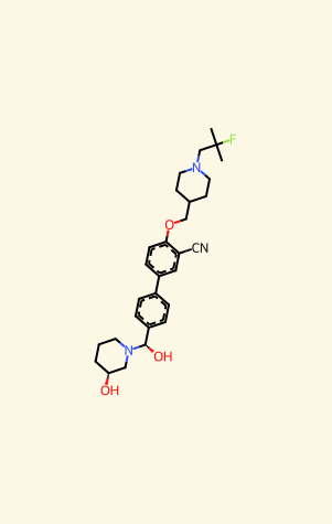 CC(C)(F)CN1CCC(COc2ccc(-c3ccc([C@@H](O)N4CCC[C@H](O)C4)cc3)cc2C#N)CC1